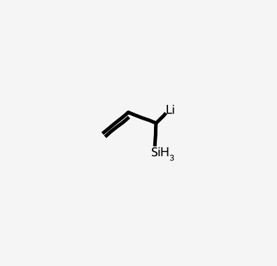 [Li][CH]([SiH3])C=C